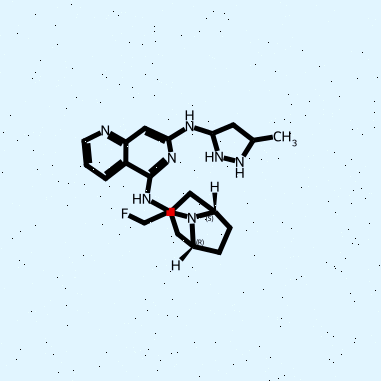 CC1CC(Nc2cc3ncccc3c(NC3C[C@H]4CC[C@@H](C3)N4CCF)n2)NN1